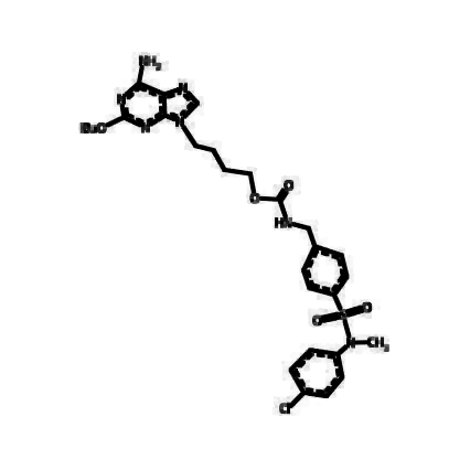 CC(C)COc1nc(N)c2ncn(CCCCOC(=O)NCc3ccc(S(=O)(=O)N(C)c4ccc(Cl)cc4)cc3)c2n1